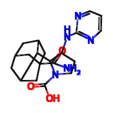 NC(=O)C12CC3CC(C1)C(C1C(Nc4ncccn4)CCN1C(=O)O)C(C3)C2